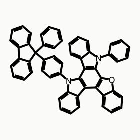 c1ccc(-n2c3ccccc3c3c2c2oc4ccccc4c2c2c4ccccc4n(-c4ccc(C5(c6ccccc6)c6ccccc6-c6ccccc65)cc4)c23)cc1